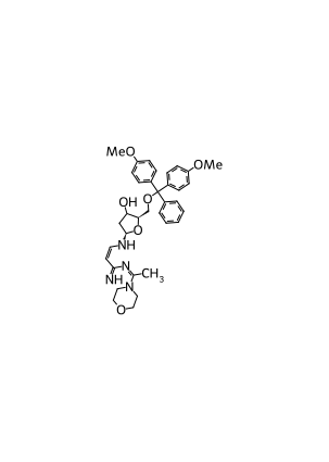 COc1ccc(C(OC[C@H]2O[C@@H](N/C=C\C(=N)/N=C(/C)N3CCOCC3)CC2O)(c2ccccc2)c2ccc(OC)cc2)cc1